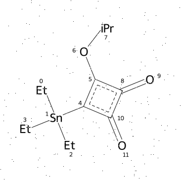 C[CH2][Sn]([CH2]C)([CH2]C)[c]1c(OC(C)C)c(=O)c1=O